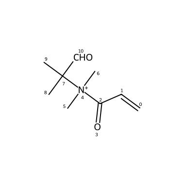 C=CC(=O)[N+](C)(C)C(C)(C)C=O